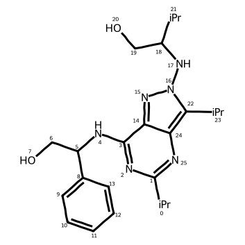 CC(C)c1nc(NC(CO)c2ccccc2)c2nn(NC(CO)C(C)C)c(C(C)C)c2n1